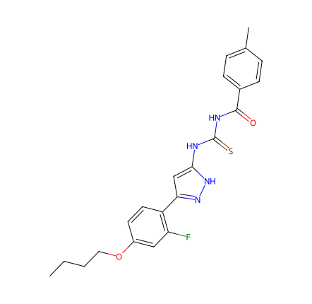 CCCCOc1ccc(-c2cc(NC(=S)NC(=O)c3ccc(C)cc3)[nH]n2)c(F)c1